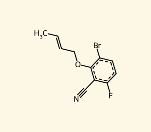 CC=CCOc1c(Br)ccc(F)c1C#N